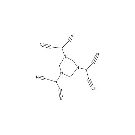 C#CC(C#N)N1CN(C(C#N)C#N)CN(C(C#N)C#N)C1